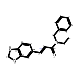 CCN(Cc1ccccc1)C(=O)/C=C/c1ccc2c(c1)OCO2